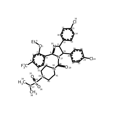 CCOc1cc(C(F)(F)F)ccc1C1=NC(c2ccc(Cl)cc2)C(c2ccc(Cl)cc2)N1C(=O)N1CCN(S(=O)(=O)N(C)C)CC1